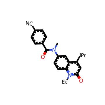 CCn1c(=O)cc(C(C)C)c2cc(N(C)C(=O)c3ccc(C#N)cc3)ccc21